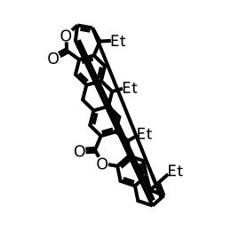 CCC1c2cc3c4cc2Cc2cc5c(cc21)C(CC)c1cc2c(cc1C(=O)O5)Cc1cc(c(cc1C2CC)C3CC)C(=O)O4